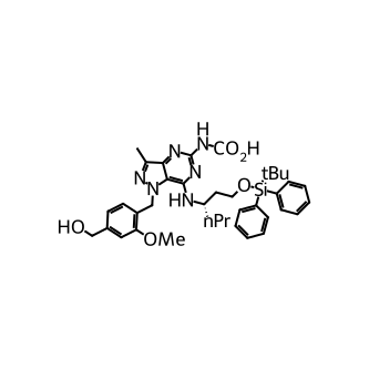 CCC[C@@H](CCO[Si](c1ccccc1)(c1ccccc1)C(C)(C)C)Nc1nc(NC(=O)O)nc2c(C)nn(Cc3ccc(CO)cc3OC)c12